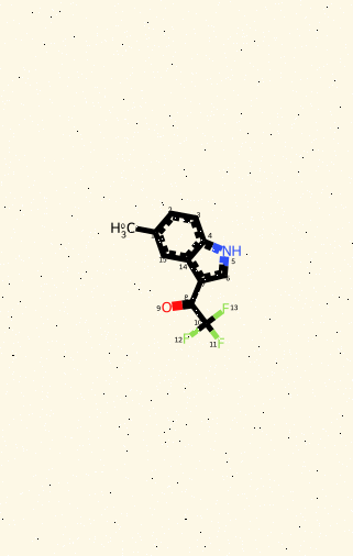 Cc1ccc2[nH]cc(C(=O)C(F)(F)F)c2c1